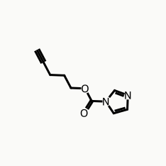 C#CCCCOC(=O)n1ccnc1